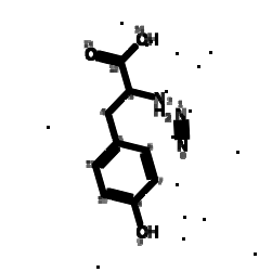 N#N.NC(Cc1ccc(O)cc1)C(=O)O